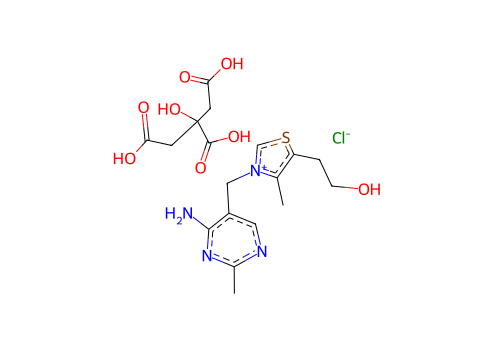 Cc1ncc(C[n+]2csc(CCO)c2C)c(N)n1.O=C(O)CC(O)(CC(=O)O)C(=O)O.[Cl-]